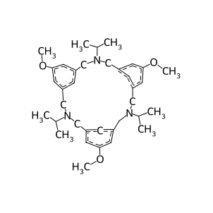 COc1cc2cc(c1)CN(C(C)C)Cc1cc(cc(OC)c1)CN(C(C)C)Cc1cc(cc(OC)c1)CN(C(C)C)C2